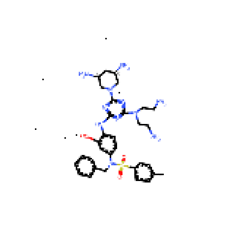 Cc1ccc(S(=O)(=O)N(Cc2ccccc2)c2ccc(Nc3nc(N(CCN)CCN)nc(N4C[C@H](N)C[C@H](N)C4)n3)c(O)c2)cc1